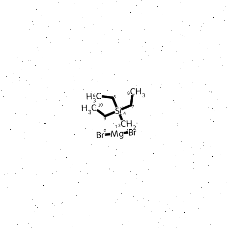 [Br][Mg][Br].[CH2][Si](CC)(CC)CC